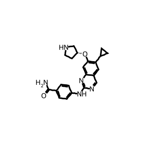 NC(=O)c1ccc(Nc2ncc3cc(C4CC4)c(O[C@@H]4CCNC4)cc3n2)cc1